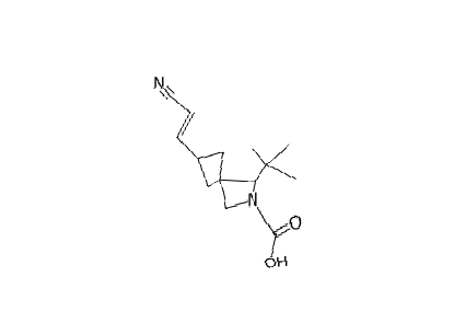 CC(C)(C)C1N(C(=O)O)CC12CC(/C=C/C#N)C2